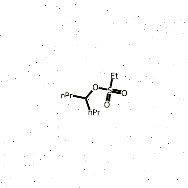 CCCC(CCC)OS(=O)(=O)CC